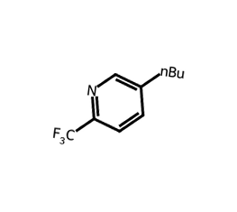 CCCCc1ccc(C(F)(F)F)nc1